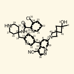 CC1(O)CC2(CN(c3cc(-c4ccc(CC5(NC(=O)c6ncccc6Cl)CCNCC5)nc4)c4c(C#N)cnn4c3)C2)C1